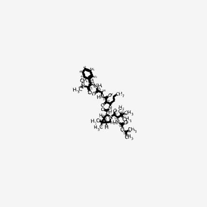 CCCC(NC(=O)[C@@H]1[C@@H]2[C@H](CN1C(=O)[C@@H](NC(=O)OC(C)C)C(C)(C)C)C2(C)C)C(=O)C(=O)NCC(=O)N[C@H](C(=O)N(C)C)c1ccccc1